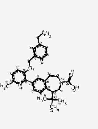 CCc1ccnc(COc2ccc(C)nc2-c2ccc3c(c2)CCN(C(=O)O)CC3C(C)(C)C)c1